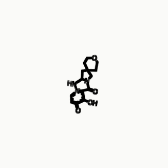 O=C1c2c(O)c(=O)ccn2NC2CC3(CCOCC3)CN12